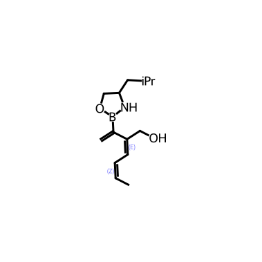 C=C(B1NC(CC(C)C)CO1)/C(=C\C=C/C)CO